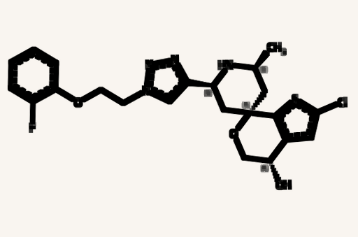 C[C@H]1C[C@@]2(C[C@@H](c3cn(CCOc4ccccc4F)nn3)N1)OC[C@@H](O)c1cc(Cl)sc12